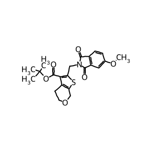 COc1ccc2c(c1)C(=O)N(Cc1sc3c(c1C(=O)OC(C)(C)C)CCOC3)C2=O